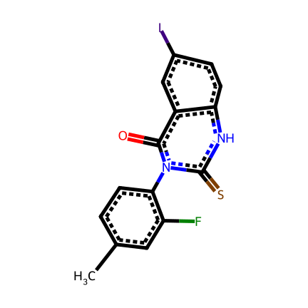 Cc1ccc(-n2c(=S)[nH]c3ccc(I)cc3c2=O)c(F)c1